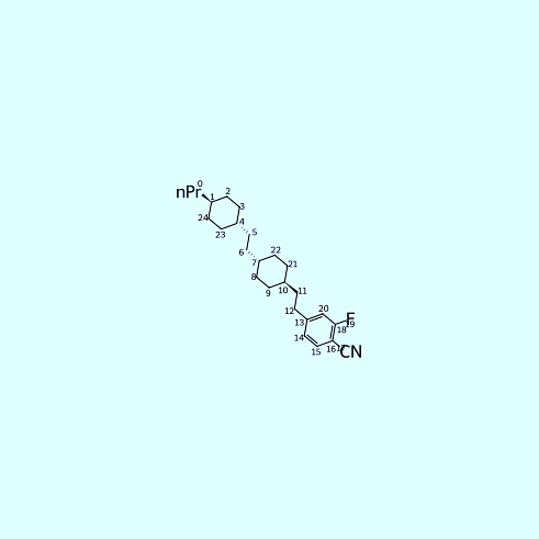 CCC[C@H]1CC[C@H](CC[C@H]2CC[C@H](CCc3ccc(C#N)c(F)c3)CC2)CC1